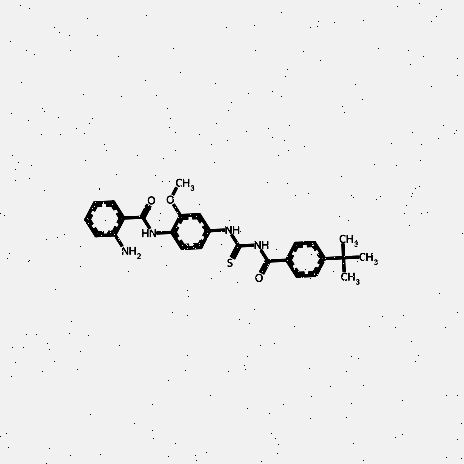 COc1cc(NC(=S)NC(=O)c2ccc(C(C)(C)C)cc2)ccc1NC(=O)c1ccccc1N